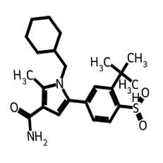 Cc1c(C(N)=O)cc(-c2ccc([SH](=O)=O)c(C(C)(C)C)c2)n1CC1CCCCC1